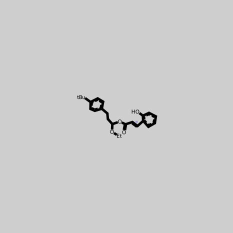 CCOC(CCc1ccc(C(C)(C)C)cc1)OC(=O)/C=C/c1ccccc1O